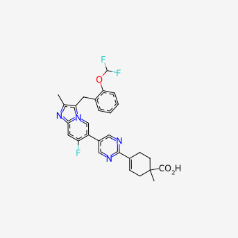 Cc1nc2cc(F)c(-c3cnc(C4=CCC(C)(C(=O)O)CC4)nc3)cn2c1Cc1ccccc1OC(F)F